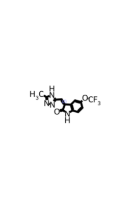 Cc1nnc(/C=C2\C(=O)Nc3ccc(OC(F)(F)F)cc32)[nH]1